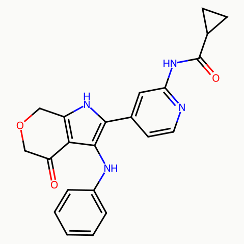 O=C1COCc2[nH]c(-c3ccnc(NC(=O)C4CC4)c3)c(Nc3ccccc3)c21